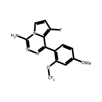 COc1ccc(-c2nnc(N)n3ccc(F)c23)c(OC(F)(F)F)c1